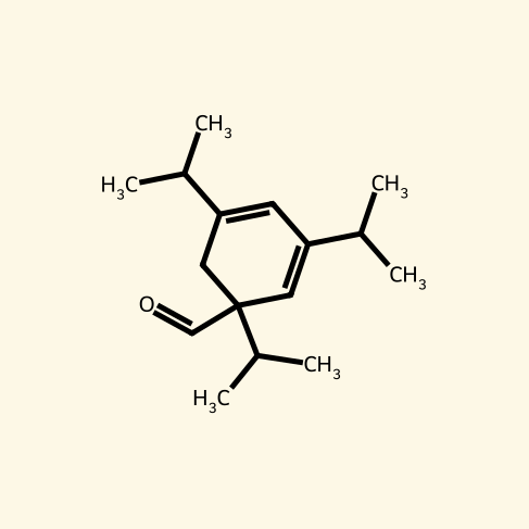 CC(C)C1=CC(C=O)(C(C)C)CC(C(C)C)=C1